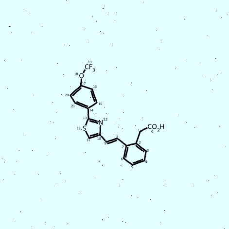 O=C(O)Cc1ccccc1C=Cc1csc(-c2ccc(OC(F)(F)F)cc2)n1